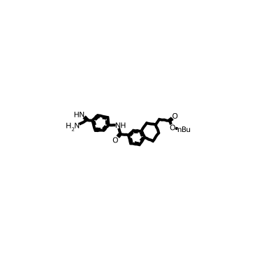 CCCCOC(=O)CC1CCc2ccc(C(=O)Nc3ccc(C(=N)N)cc3)cc2C1